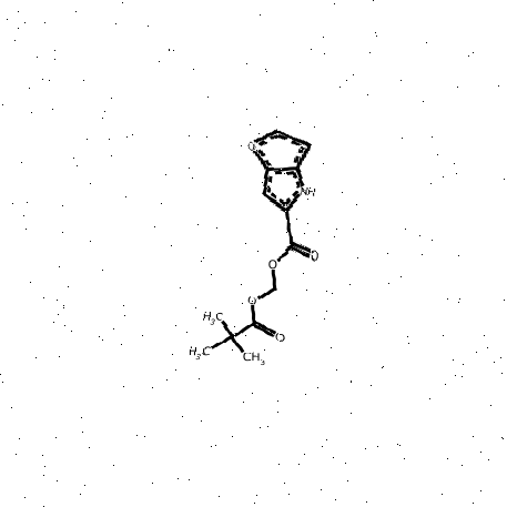 CC(C)(C)C(=O)OCOC(=O)c1cc2occc2[nH]1